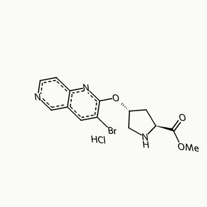 COC(=O)[C@@H]1C[C@@H](Oc2nc3ccncc3cc2Br)CN1.Cl